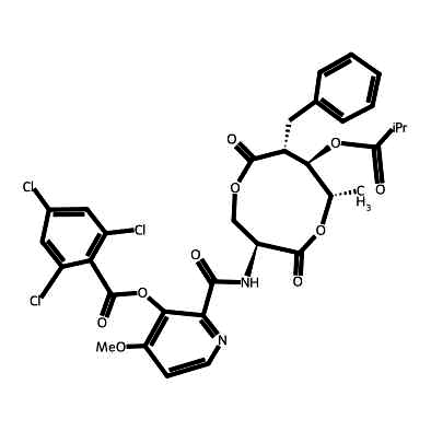 COc1ccnc(C(=O)N[C@H]2COC(=O)[C@H](Cc3ccccc3)[C@@H](OC(=O)C(C)C)[C@H](C)OC2=O)c1OC(=O)c1c(Cl)cc(Cl)cc1Cl